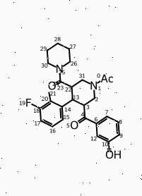 CC(=O)N1CC(C(=O)c2cccc(O)c2)C(c2cccc(F)c2C)C(C(=O)N2CCCCC2)C1